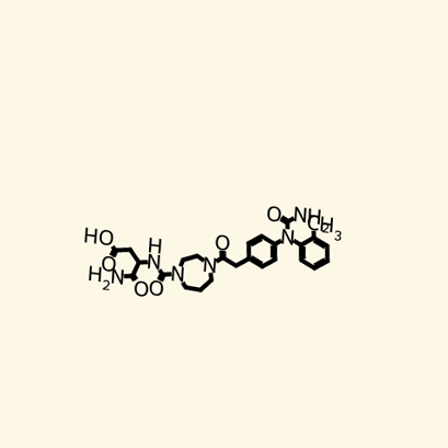 Cc1ccccc1N(C(N)=O)c1ccc(CC(=O)N2CCCN(C(=O)NC(CC(=O)O)C(N)=O)CC2)cc1